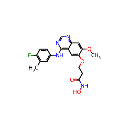 COc1cc2ncnc(Nc3ccc(F)c(C)c3)c2cc1OCCC(=O)NO